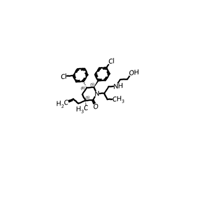 C=CC[C@@]1(C)C[C@H](c2cccc(Cl)c2)[C@@H](c2ccc(Cl)cc2)N(C(CC)CNCCO)C1=O